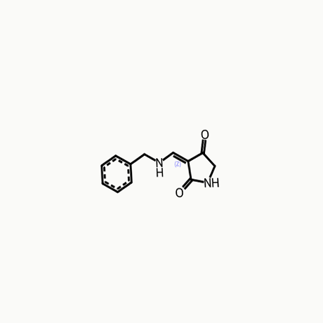 O=C1CNC(=O)/C1=C\NCc1ccccc1